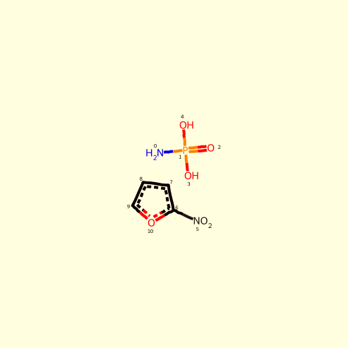 NP(=O)(O)O.O=[N+]([O-])c1ccco1